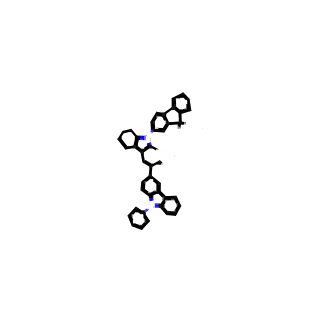 C=C/C(=C\c1c2c(n(-c3ccc4c(c3)C(C)(C)c3ccccc3-4)c1C)CCC=C2)c1ccc2c(c1)c1ccccc1n2-c1ccccc1